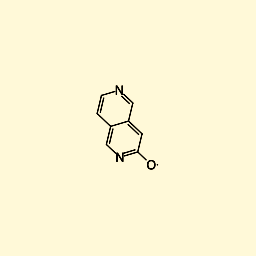 [O]c1cc2cnccc2cn1